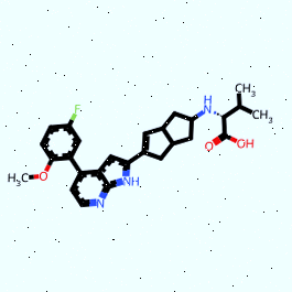 COc1ccc(F)cc1-c1ccnc2[nH]c(C3=CC4CC(N[C@@H](C(=O)O)C(C)C)CC4C3)cc12